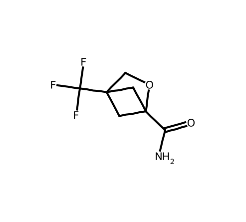 NC(=O)C12CC(C(F)(F)F)(CO1)C2